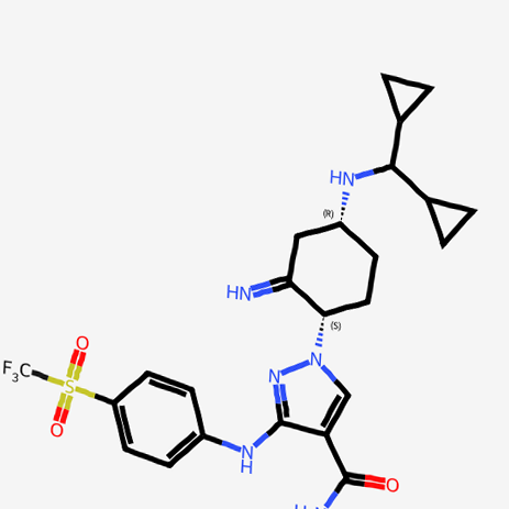 N=C1C[C@H](NC(C2CC2)C2CC2)CC[C@@H]1n1cc(C(N)=O)c(Nc2ccc(S(=O)(=O)C(F)(F)F)cc2)n1